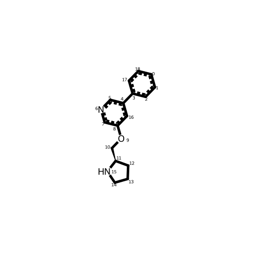 c1ccc(-c2cncc(OC[C@H]3CCCN3)c2)cc1